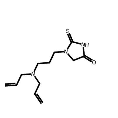 C=CCN(CC=C)CCCN1CC(=O)NC1=S